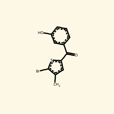 Cc1cc(C(=O)c2cccc(O)c2)sc1Br